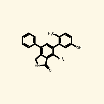 Cc1ccc(O)cc1-c1cc(-c2ccccc2)c2c(c1N)C(=O)NC2